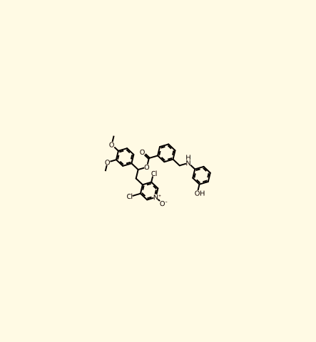 COc1ccc(C(Cc2c(Cl)c[n+]([O-])cc2Cl)OC(=O)c2cccc(CNc3cccc(O)c3)c2)cc1OC